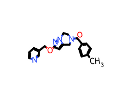 Cc1ccc(C(=O)N2CCn3nc(OCc4cccnc4)cc3C2)cc1